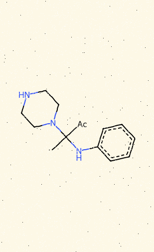 [CH2]C(Nc1ccccc1)(C(C)=O)N1CCNCC1